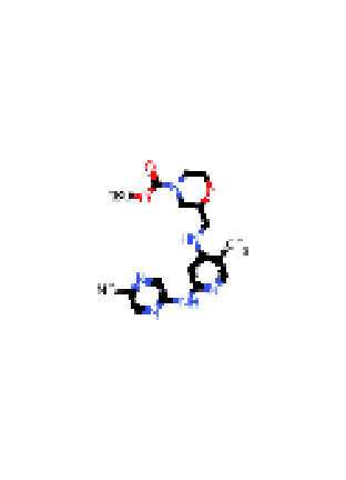 CC(C)(C)OC(=O)N1CCOC(CNc2cc(Nc3cnc(C#N)cn3)ncc2C(F)(F)F)C1